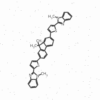 Cn1c(-c2ccc(-c3ccc4c(c3)C(C)(C)c3cc(-c5ccc(-c6nc7ccccc7n6C)s5)ccc3-4)s2)nc2ccccc21